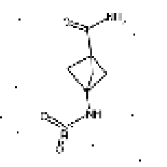 NC(=O)C12CC(N[SH](=O)=O)(C1)C2